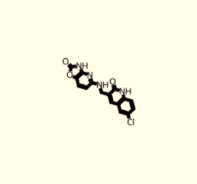 O=c1[nH]c2nc(NCc3cc4cc(Cl)ccc4[nH]c3=O)ccc2o1